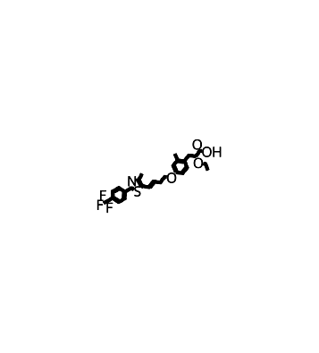 CCOC(Cc1ccc(OCCC=Cc2sc(-c3ccc(C(F)(F)F)cc3)nc2C)cc1C)C(=O)O